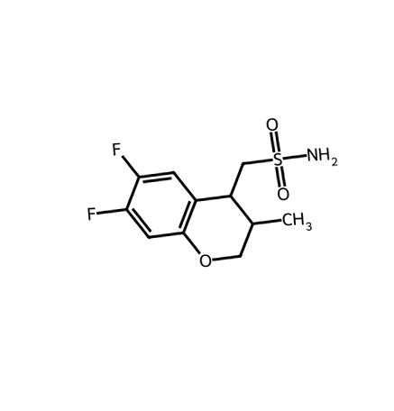 CC1COc2cc(F)c(F)cc2C1CS(N)(=O)=O